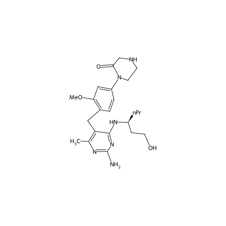 CCC[C@@H](CCO)Nc1nc(N)nc(C)c1Cc1ccc(N2CCNCC2=O)cc1OC